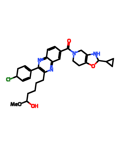 COC(O)CCCCc1nc2cc(C(=O)N3CCC4=C(C3)NC(C3CC3)O4)ccc2nc1C1=CCC(Cl)C=C1